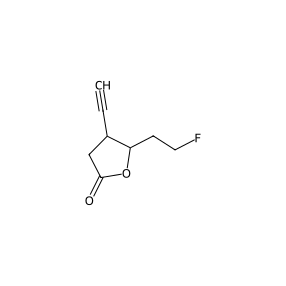 C#CC1CC(=O)OC1CCF